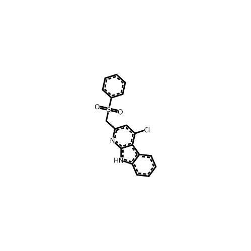 O=S(=O)(Cc1cc(Cl)c2c(n1)[nH]c1ccccc12)c1ccccc1